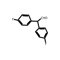 O=CC(c1ccc(F)cc1)c1ccc(F)cc1